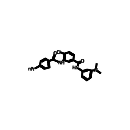 CCCc1ccc(C(=O)Nc2cc(C(=O)Nc3cccc(N(C)C)c3)ccc2Cl)cc1